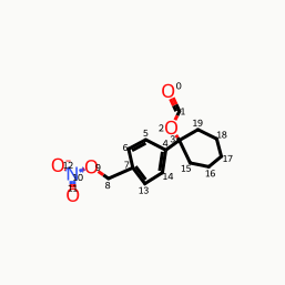 O=COC1(c2ccc(CO[N+](=O)[O-])cc2)CCCCC1